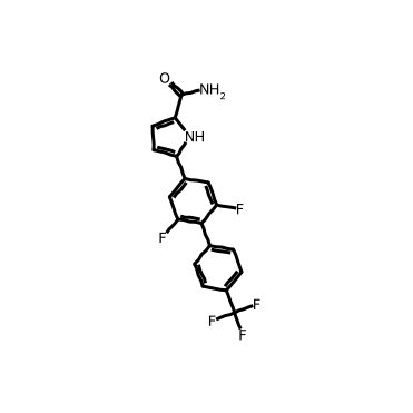 NC(=O)c1ccc(-c2cc(F)c(-c3ccc(C(F)(F)F)cc3)c(F)c2)[nH]1